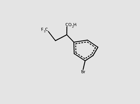 O=C(O)C(CC(F)(F)F)c1cccc(Br)c1